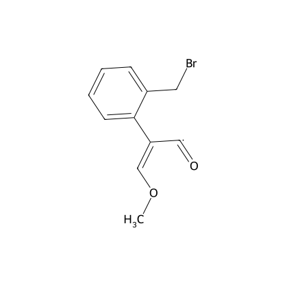 COC=C([C]=O)c1ccccc1CBr